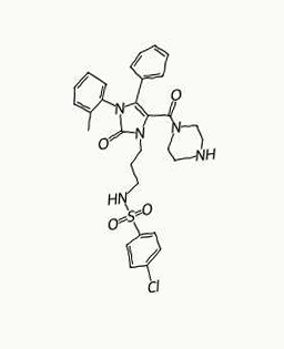 Cc1ccccc1-n1c(-c2ccccc2)c(C(=O)N2CCNCC2)n(CCCNS(=O)(=O)c2ccc(Cl)cc2)c1=O